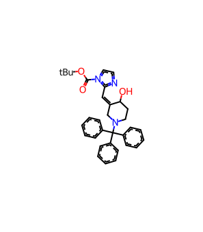 CC(C)(C)OC(=O)n1ccnc1/C=C1/CN(C(c2ccccc2)(c2ccccc2)c2ccccc2)CCC1O